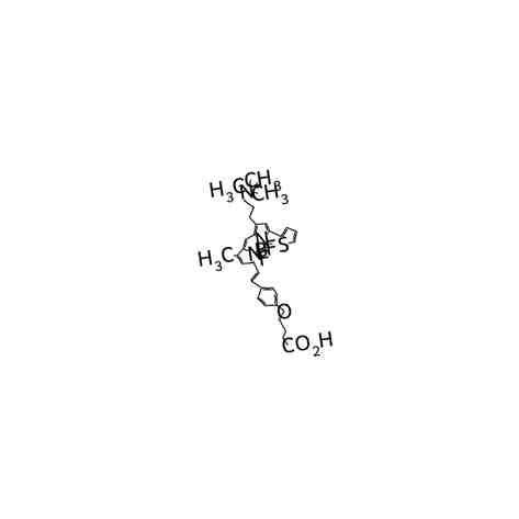 CC1=CC(/C=C/c2ccc(OCCCC(=O)O)cc2)=[N+]2C1=Cc1c(CCC[N+](C)(C)C)cc(-c3cccs3)n1[B-]2(F)F